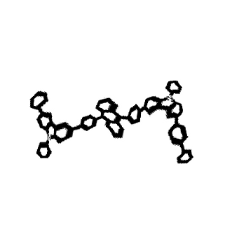 c1ccc(-c2ccc(-c3ccc4c(c3)c3cc(-c5ccc(-c6c7ccccc7c(-c7ccc(-c8ccc9c(c8)c8cc(-c%10ccccc%10)ccc8n9-c8ccccc8)cc7)c7ccccc67)cc5)ccc3n4-c3ccccc3)cc2)cc1